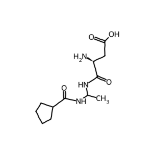 CC(NC(=O)C1CCCC1)NC(=O)[C@@H](N)CC(=O)O